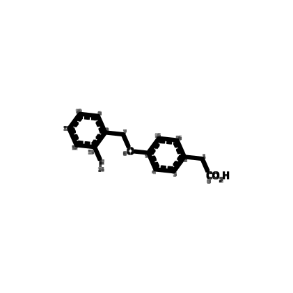 O=C(O)Cc1ccc(OCc2ccccc2F)cc1